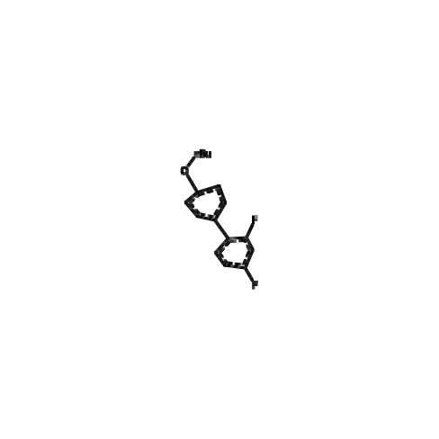 CCCCOc1ccc(-c2ccc(F)cc2F)cc1